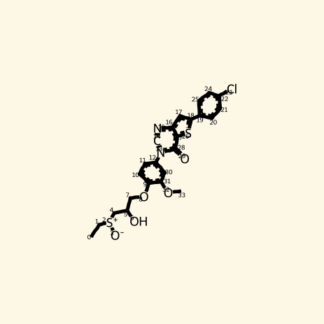 CC[S+]([O-])CC(O)COc1ccc(-n2cnc3cc(-c4ccc(Cl)cc4)sc3c2=O)cc1OC